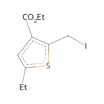 CCOC(=O)c1cc(CC)sc1CI